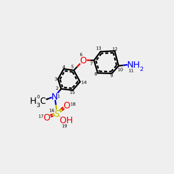 CN(c1ccc(Oc2ccc(N)cc2)cc1)S(=O)(=O)O